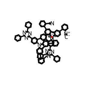 [C-]#[N+]c1ccccc1-c1ccc2c(c1)c1cc(-c3ccccc3C#N)ccc1n2-c1ccc(-c2nc(-c3ccccc3)nc(-c3ccccc3)n2)cc1-c1cccc(-c2cc(-c3nc(-c4ccccc4)nc(-c4ccccc4)n3)ccc2-n2c3ccc(-c4ccccc4C#N)cc3c3cc(-c4ccccc4[N+]#[C-])ccc32)c1